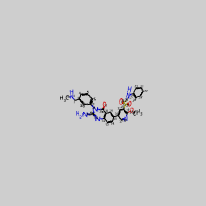 CNCc1cccc(-n2c(N)nc3ccc(-c4cnc(OC)c(S(=O)(=O)Nc5ccccc5)c4)cc3c2=O)c1